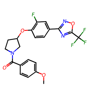 COc1ccc(C(=O)N2CCC(Oc3ccc(-c4noc(C(F)(F)F)n4)cc3F)C2)cc1